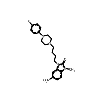 Cn1c(=O)n(CCCCN2CCN(c3ccc(F)cc3)CC2)c2cc([N+](=O)[O-])ccc21